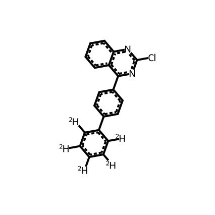 [2H]c1c([2H])c([2H])c(-c2ccc(-c3nc(Cl)nc4ccccc34)cc2)c([2H])c1[2H]